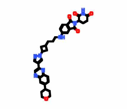 O=C1CCC(N2C(=O)c3ccc(NCCCC4CC(n5cc(-c6cnc7cc(C8CCOCC8)ccc7n6)cn5)C4)cc3C2=O)C(=O)N1